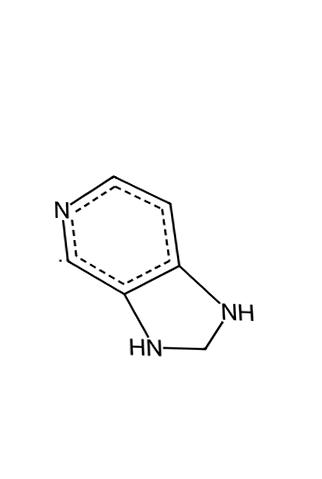 [c]1nccc2c1NCN2